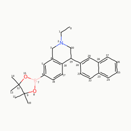 CCN1Cc2cc(B3OC(C)(C)C(C)(C)O3)ccc2C(c2ccc3ccccc3c2)C1